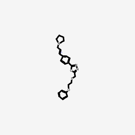 C(=C\c1ccc(-c2nnc(CSCCOc3ccccc3)o2)cc1)/CN1CCCC1